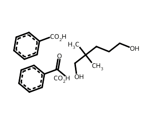 CC(C)(CO)CCCO.O=C(O)C(=O)c1ccccc1.O=C(O)c1ccccc1